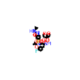 COc1cc(C[C@H](NC(=O)OC2=C3COC4OCC2CC34)[C@H](O)CN(CC(C)C)S(=O)(=O)c2ccc3nc(NC4CC4)oc3c2)ccc1F